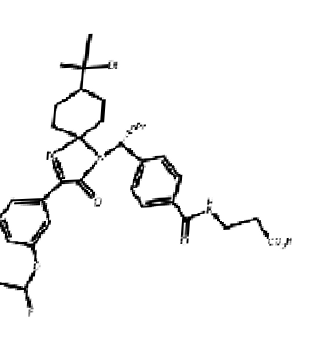 CCC[C@H](c1ccc(C(=O)NCCC(=O)O)cc1)N1C(=O)C(c2cccc(OC(F)F)c2)=NC12CCC(C(C)(C)CC)CC2